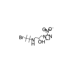 CC(C)(Br)C(C)(C)NCC(O)Cn1ccnc1[N+](=O)[O-]